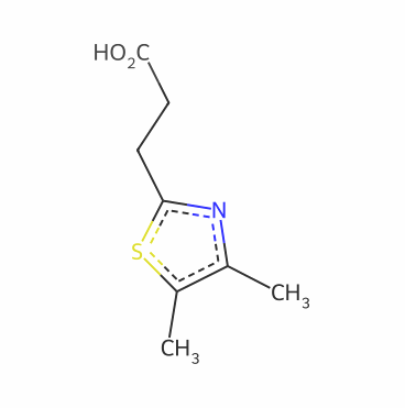 Cc1nc(CCC(=O)O)sc1C